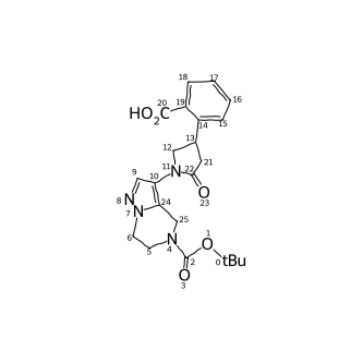 CC(C)(C)OC(=O)N1CCn2ncc(N3CC(c4ccccc4C(=O)O)CC3=O)c2C1